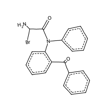 NC(Br)C(=O)N(c1ccccc1)c1ccccc1C(=O)c1ccccc1